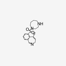 O=S(=O)(c1cccc2c1C(F)=CCN=C2)N1CCCCNCC1